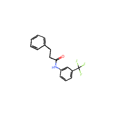 O=C(CCc1ccccc1)Nc1cccc(C(F)(F)F)c1